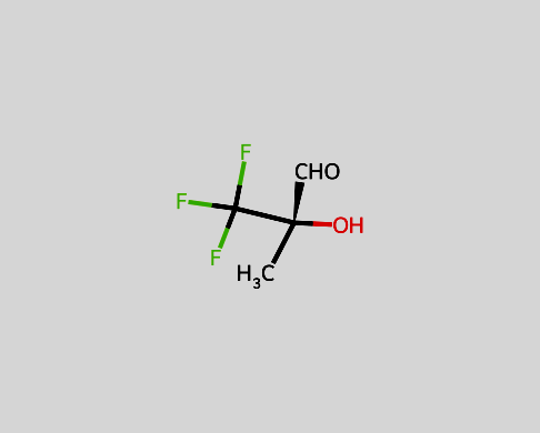 C[C@](O)(C=O)C(F)(F)F